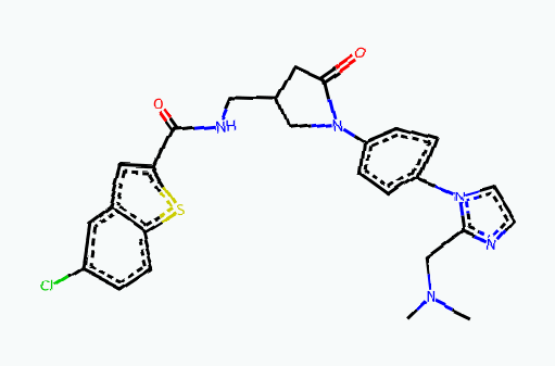 CN(C)Cc1nccn1-c1ccc(N2CC(CNC(=O)c3cc4cc(Cl)ccc4s3)CC2=O)cc1